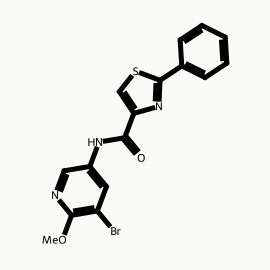 COc1ncc(NC(=O)c2csc(-c3ccccc3)n2)cc1Br